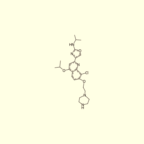 CC(C)Nc1nc(-c2cc(OC(C)C)c3ccc(OCCN4CCNCC4)c(Cl)c3n2)co1